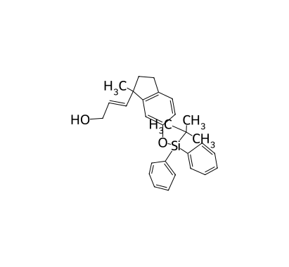 CC1(C=CCO)CCc2ccc(O[Si](c3ccccc3)(c3ccccc3)C(C)(C)C)cc21